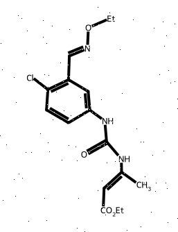 CCON=Cc1cc(NC(=O)NC(C)=CC(=O)OCC)ccc1Cl